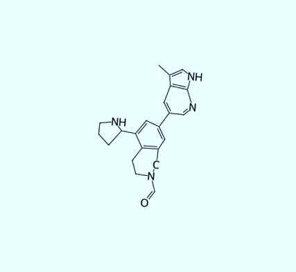 Cc1c[nH]c2ncc(-c3cc4c(c(C5CCCN5)c3)CCN(C=O)C4)cc12